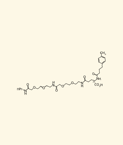 CCCNC(=O)COCCOCCNC(=O)COCCOCCNC(=O)CC[C@H](NC(=O)CCCc1ccc(C)cc1)C(=O)O